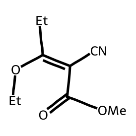 CCOC(CC)=C(C#N)C(=O)OC